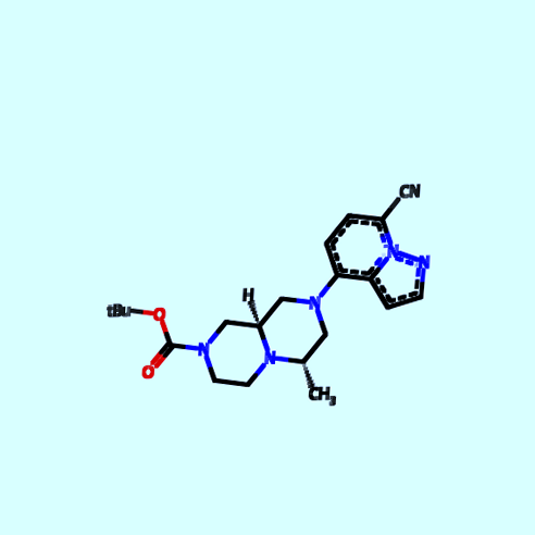 C[C@H]1CN(c2ccc(C#N)n3nccc23)C[C@@H]2CN(C(=O)OC(C)(C)C)CCN21